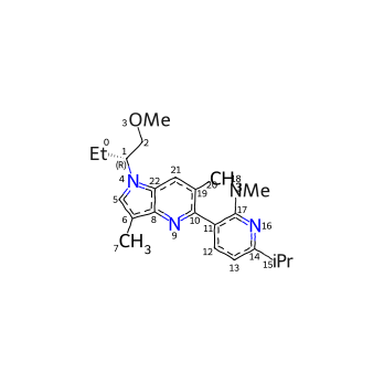 CC[C@H](COC)n1cc(C)c2nc(-c3ccc(C(C)C)nc3NC)c(C)cc21